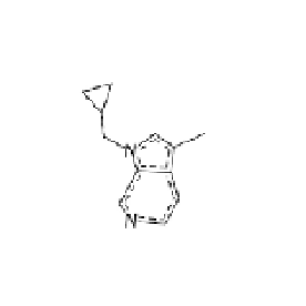 Cc1cn(CC2CC2)c2cnccc12